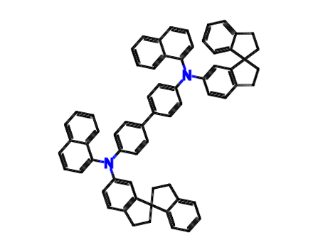 c1ccc2c(c1)CCC21CCc2ccc(N(c3ccc(-c4ccc(N(c5ccc6c(c5)C5(CCc7ccccc75)CC6)c5cccc6ccccc56)cc4)cc3)c3cccc4ccccc34)cc21